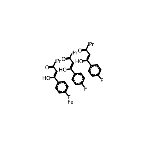 CC(C)C(=O)C=C(O)c1ccc(F)cc1.CC(C)C(=O)C=C(O)c1ccc(F)cc1.CC(C)C(=O)C=C(O)c1ccc(F)cc1.[Fe]